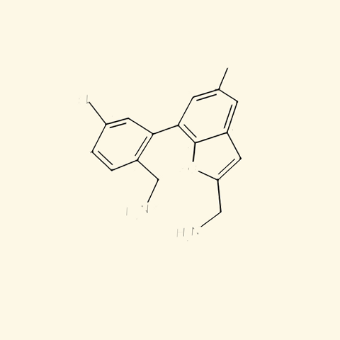 NCc1cc2cc(F)cc(-c3cc(Cl)ccc3CN)c2o1